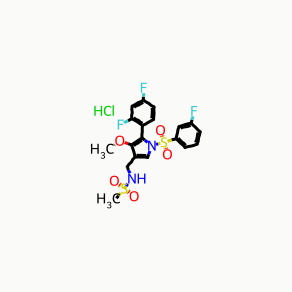 COc1c(CNS(C)(=O)=O)cn(S(=O)(=O)c2cccc(F)c2)c1-c1ccc(F)cc1F.Cl